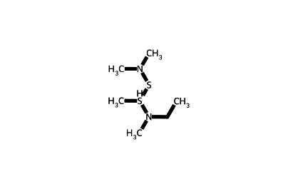 CCN(C)[SH](C)SN(C)C